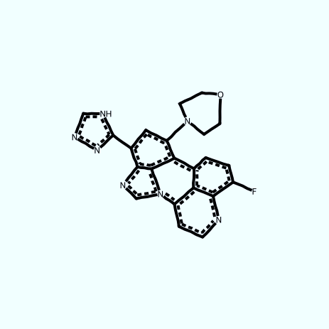 Fc1ccc2c3c(N4CCOCC4)cc(-c4nnc[nH]4)c4ncn(c5ccnc1c25)c43